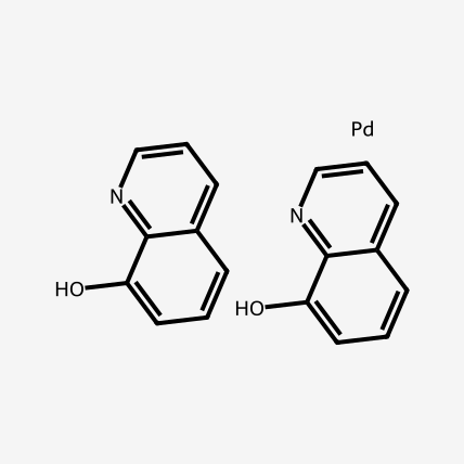 Oc1cccc2cccnc12.Oc1cccc2cccnc12.[Pd]